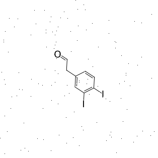 O=CCc1ccc(I)c(I)c1